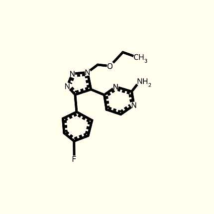 CCOCn1nnc(-c2ccc(F)cc2)c1-c1ccnc(N)n1